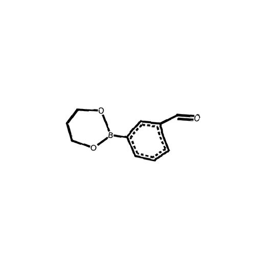 O=Cc1cccc(B2OCCCO2)c1